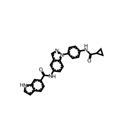 O=C(Nc1ccc2c(cnn2-c2ccc(NC(=O)C3CC3)cc2)c1)c1ccc2cc[nH]c2c1